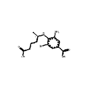 C[C@H](CCCC(=O)O)Nc1c(N)cc(C(=O)O)cc1Br